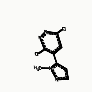 Cn1nccc1-c1cc(Cl)nnc1Cl